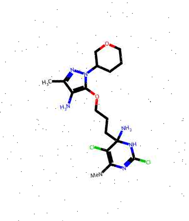 CNC1=C(Cl)C(N)(CCCOc2c(N)c(C)nn2C2CCCOC2)NC(Cl)=N1